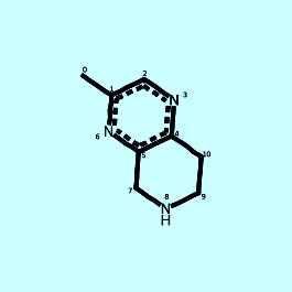 Cc1[c]nc2c(n1)CNCC2